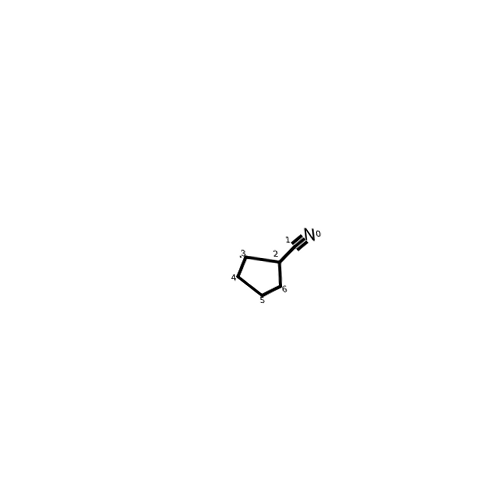 N#CC1[CH]CCC1